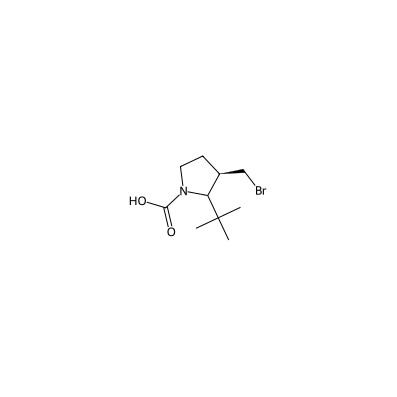 CC(C)(C)C1[C@H](CBr)CCN1C(=O)O